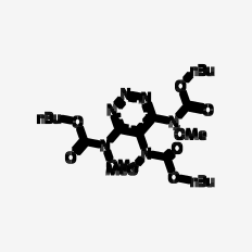 CCCCOC(=O)N(OC)c1nnnc(N(OC)C(=O)OCCCC)c1N(OC)C(=O)OCCCC